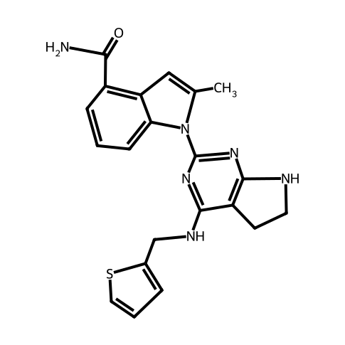 Cc1cc2c(C(N)=O)cccc2n1-c1nc2c(c(NCc3cccs3)n1)CCN2